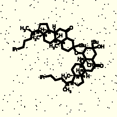 CC(C)CCC[C@@H](C)[C@H]1CC[C@H]2[C@@H]3CC(=O)C4CC(O)(C(C)(C)C)CC(OC5(C(C)(C)C)CC[C@@]6(C)C(C5)C(=O)C[C@H]5[C@@H]7CC[C@H]([C@H](C)CCCC(C)C)[C@@]7(C)CC[C@@H]56)[C@]4(C)[C@H]3CC[C@]12C